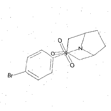 O=C1CC2CCC(C1)N2S(=O)(=O)c1ccc(Br)cc1